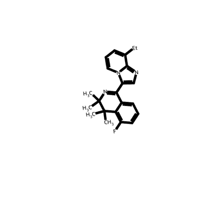 CCc1cccn2c(C3=NC(C)(C)C(C)(C)c4c(F)cccc43)cnc12